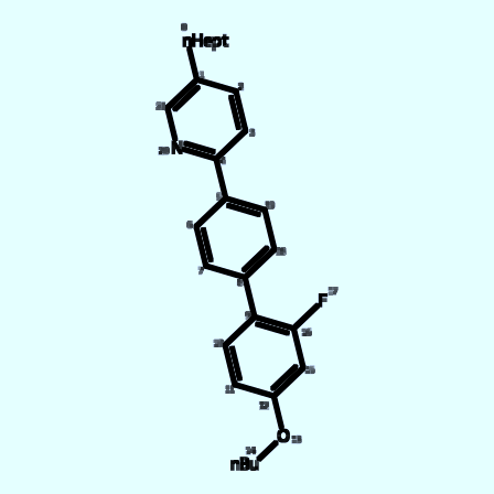 CCCCCCCc1ccc(-c2ccc(-c3ccc(OCCCC)cc3F)cc2)nc1